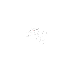 O=C1N(C(c2ccccc2)c2ccccc2)c2ccccc2C12COc1c(Cl)cc3c(c12)OCCO3